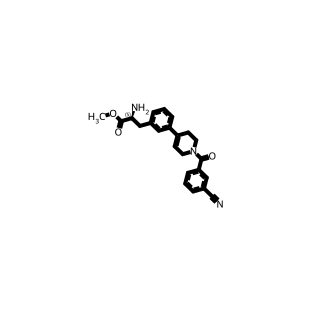 COC(=O)[C@@H](N)Cc1cccc(C2=CCN(C(=O)c3cccc(C#N)c3)CC2)c1